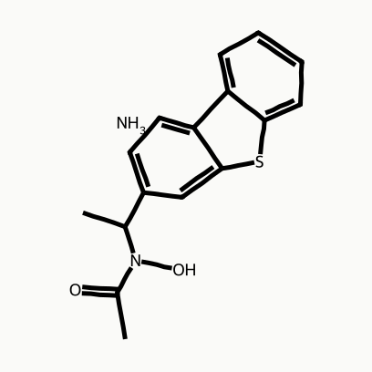 CC(=O)N(O)C(C)c1ccc2c(c1)sc1ccccc12.N